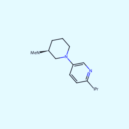 CN[C@H]1CCCN(c2ccc(C(C)C)nc2)C1